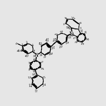 CC1=CCC(N(c2ccc(C3=CC=CCC3)cc2)C2C=CC(C3=CC=C(N4c5ccccc5C5C=CC=CC54)CC3)=CC2)C=C1